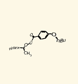 CCCCCC[C](C)OOC(=O)c1ccc(OCCCC)cc1